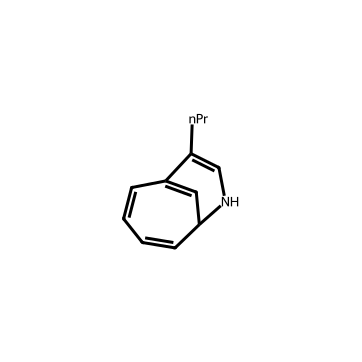 CCCC1=CNC2C=CC=CC1=C2